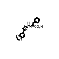 O=C(O)/C(Cc1ccccc1)=N/Nc1nc(-c2ccc3c(c2)OCCO3)cs1